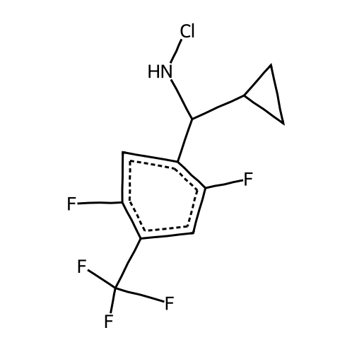 Fc1cc(C(F)(F)F)c(F)cc1C(NCl)C1CC1